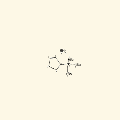 CCCC[N+](CCCC)(CCCC)C1CCCC1.[BH4-]